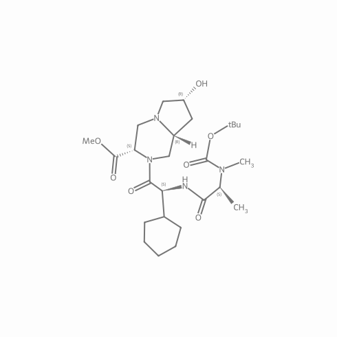 COC(=O)[C@@H]1CN2C[C@H](O)C[C@@H]2CN1C(=O)[C@@H](NC(=O)[C@H](C)N(C)C(=O)OC(C)(C)C)C1CCCCC1